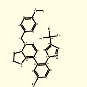 COc1ccc(CN2C=CC(c3cc(Cl)ccc3-n3cc(C(F)(F)F)nn3)=C3OCCC32)cc1